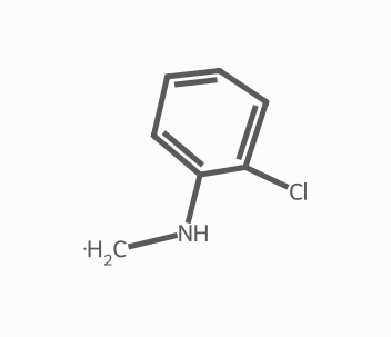 [CH2]Nc1ccccc1Cl